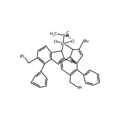 CCC(C)C1=Cc2c(ccc(CC(C)C)c2-c2ccccc2)[CH]1[Zr]([Cl])([Cl])([CH]1C(C(C)CC)=Cc2c1ccc(CC(C)C)c2-c1ccccc1)[SiH](C)C